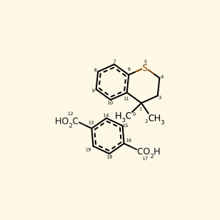 CC1(C)CCSc2ccccc21.O=C(O)c1ccc(C(=O)O)cc1